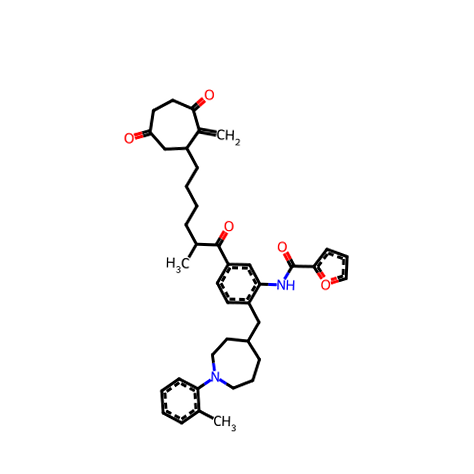 C=C1C(=O)CCC(=O)CC1CCCCC(C)C(=O)c1ccc(CC2CCCN(c3ccccc3C)CC2)c(NC(=O)c2ccco2)c1